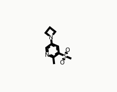 Cc1ncc(N2CCC2)cc1S(C)(=O)=O